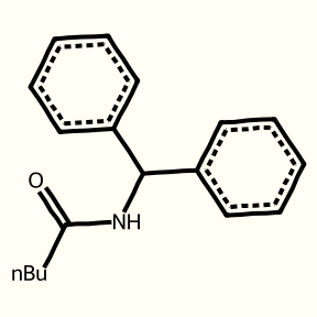 CCCCC(=O)NC(c1ccccc1)c1ccccc1